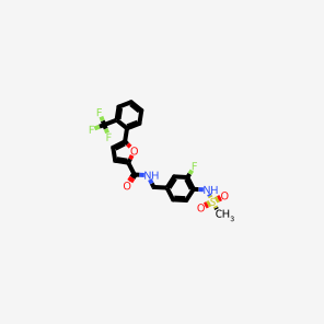 CS(=O)(=O)Nc1ccc(CNC(=O)c2ccc(-c3ccccc3C(F)(F)F)o2)cc1F